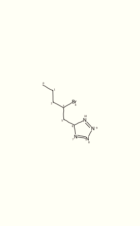 CCCC(Br)CC1N=NN=N1